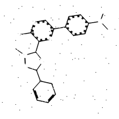 CN1OC(C2C=CC=CC2)NC1c1nc(-c2ccc([S+](C)[O-])cc2)cnc1N